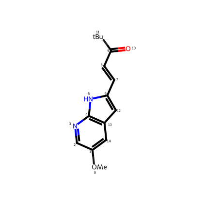 COc1cnc2[nH]c(/C=C/C(=O)C(C)(C)C)cc2c1